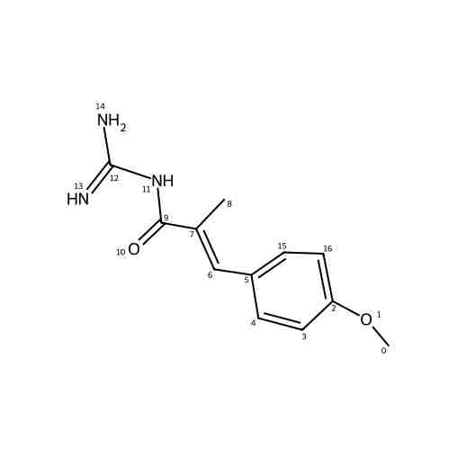 COc1ccc(/C=C(\C)C(=O)NC(=N)N)cc1